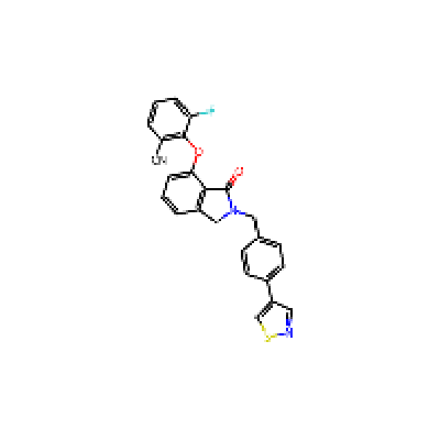 N#Cc1cccc(F)c1Oc1cccc2c1C(=O)N(Cc1ccc(-c3cnsc3)cc1)C2